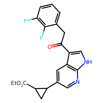 CCOC(=O)C1CC1c1cnc2[nH]cc(C(=O)Cc3cccc(F)c3F)c2c1